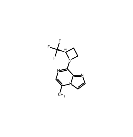 Cc1cnc(N2CC[C@@H]2C(F)(F)F)c2nccn12